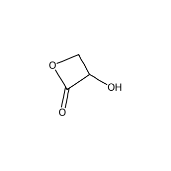 O=C1OCC1O